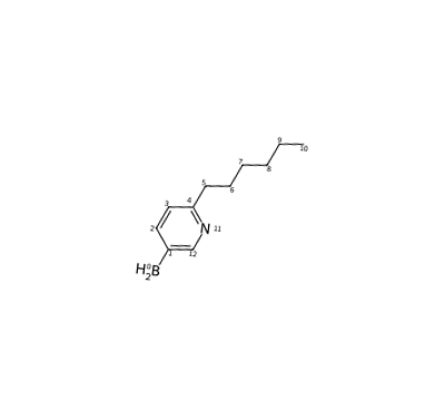 Bc1ccc(CCCCCC)nc1